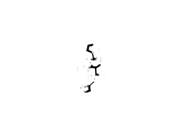 Nc1nc(-c2ccco2)ncc1C(=O)NCc1ccno1